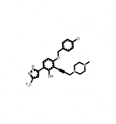 CN1CCN(CC#Cc2c(OCc3ccc(Cl)cc3)ccc(-c3cc(C(F)(F)F)n[nH]3)c2O)CC1